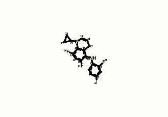 Fc1cc(I)ccc1Nc1c(F)cc(F)c2c1CC=CN2C1CC1